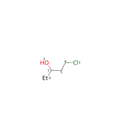 CCC(O)CCCl